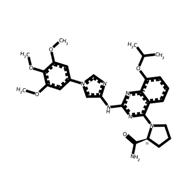 COc1cc(-n2cnc(Nc3nc(N4CCC[C@H]4C(N)=O)c4cccc(OC(C)C)c4n3)c2)cc(OC)c1OC